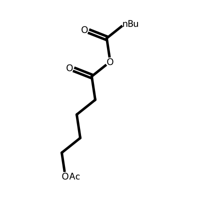 CCCCC(=O)OC(=O)CCCCOC(C)=O